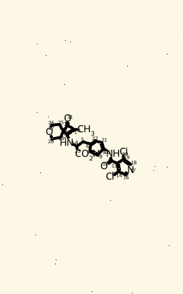 CC1=C(NC(Cc2ccc(NC(=O)c3c(Cl)cncc3Cl)cc2)C(=O)O)C2(CCOCC2)C1=O